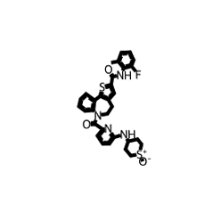 Cc1cccc(F)c1NC(=O)c1cc2c(s1)-c1ccccc1N(C(=O)c1cccc(NC3CC[S+]([O-])CC3)n1)CC2